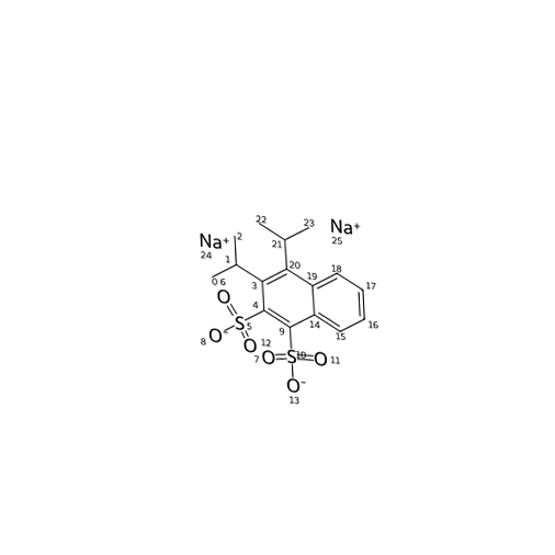 CC(C)c1c(S(=O)(=O)[O-])c(S(=O)(=O)[O-])c2ccccc2c1C(C)C.[Na+].[Na+]